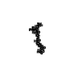 CC[C@@]1(O)C(=O)OCc2c1cc1n(c2=O)Cc2cc3cc(NC(=O)OCc4ccc(NC(=O)[C@H](CCCNC(N)=O)NC(=O)[C@@H](NC(C)C)C(C)C)cc4)ccc3nc2-1